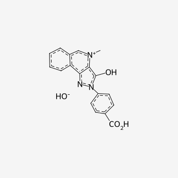 C[n+]1cc2ccccc2c2nn(-c3ccc(C(=O)O)cc3)c(O)c21.[OH-]